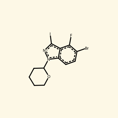 Fc1c(Br)ccc2c1c(I)nn2C1CCCCO1